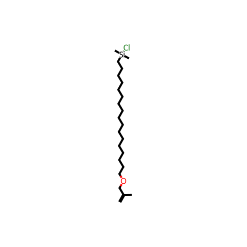 C=C(C)COCCCCCCCCCCCCCCCCC[Si](C)(C)Cl